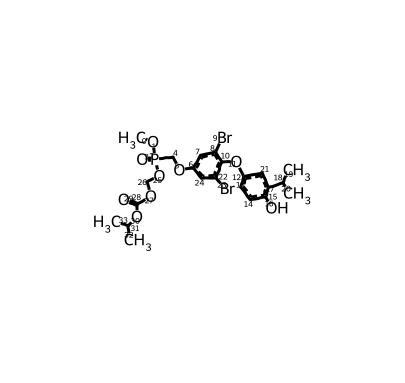 COP(=O)(COc1cc(Br)c(Oc2ccc(O)c(C(C)C)c2)c(Br)c1)OCOC(=O)OC(C)C